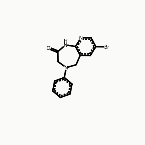 O=C1CN(c2ccccc2)Cc2cc(Br)cnc2N1